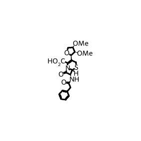 CO[C@H]1[C@@H](OC)CO[C@@H]1C1=C(C(=O)O)N2C(=O)[C@@H](NC(=O)Cc3ccccc3)[C@H]2SC1